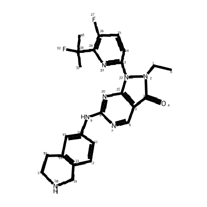 CCn1c(=O)c2cnc(Nc3ccc4c(c3)CCNC4)nc2n1-c1ccc(F)c(C(C)(C)F)n1